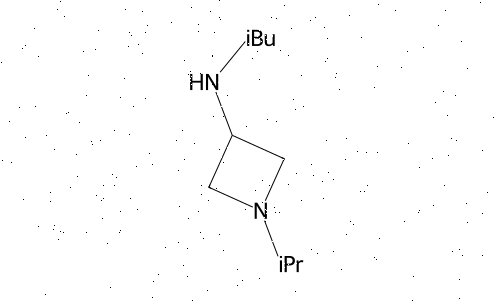 CCC(C)NC1CN(C(C)C)C1